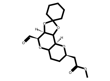 COC(=O)C[C@H]1CCC2O[C@@H](C=O)[C@H]3OC4(CCCCC4)OC3[C@H]2O1